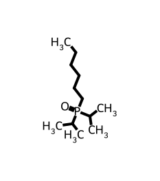 CCCCCCP(=O)(C(C)C)C(C)C